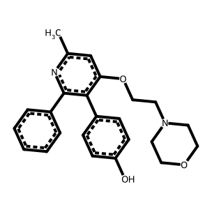 Cc1cc(OCCN2CCOCC2)c(-c2ccc(O)cc2)c(-c2ccccc2)n1